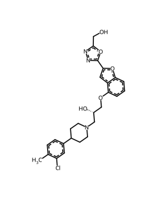 Cc1ccc(C2CCN(C[C@H](O)COc3cccc4oc(-c5nnc(CO)o5)cc34)CC2)cc1Cl